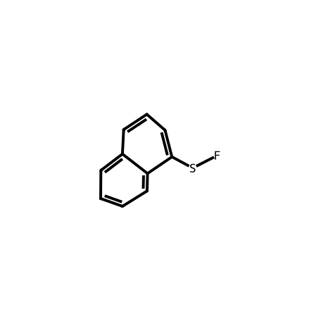 FSc1cccc2ccccc12